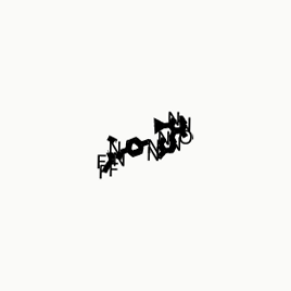 CCn1cc(C(F)(F)F)nc1-c1ccc(Cn2ncc3cnc(-c4c(OC)ncnc4C4CC4)nc32)cc1